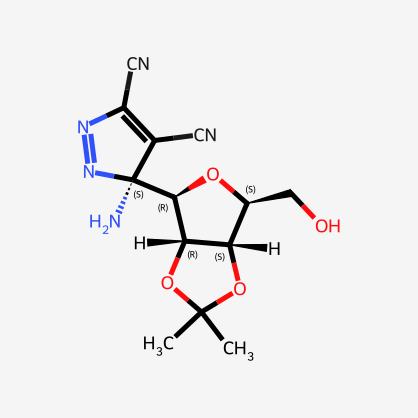 CC1(C)O[C@@H]2[C@H](O1)[C@@H]([C@@]1(N)N=NC(C#N)=C1C#N)O[C@H]2CO